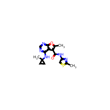 Cc1nc(NC(=O)c2c(C)oc3ncnc(NC4(C)CC4)c23)cs1